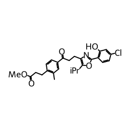 COC(=O)CCc1ccc(C(=O)CCc2nc(-c3ccc(Cl)cc3O)oc2C(C)C)cc1C